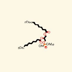 CCCCCCCCCCCCCCCCCC(=O)OCC(COP(=O)(N=O)OC)OC(=O)CCCCCCCCCCCCCCCCC